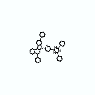 c1ccc(-c2ccc3c4c5ccccc5c(-c5ccccc5)cc4n(-c4ccc(-c5nc(-c6ccccc6)nc(-c6ccccc6)n5)cn4)c3c2)cc1